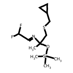 CC(CSCC1CC1)(N=CC(F)F)O[Si](C)(C)C